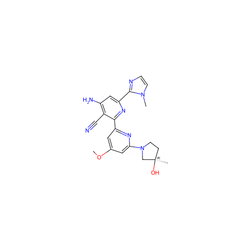 COc1cc(-c2nc(-c3nccn3C)cc(N)c2C#N)nc(N2CC[C@@](C)(O)C2)c1